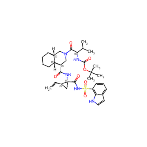 C=C[C@@H]1C[C@]1(NC(=O)[C@H]1CN(C(=O)[C@@H](NC(=O)OC(C)(C)C)C(C)C)C[C@H]2CCCC[C@H]21)C(=O)NS(=O)(=O)c1cccc2cc[nH]c12